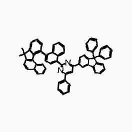 CC1(C)c2cccc(-c3ccc(-c4nc(-c5ccccc5)cc(-c5ccc6c(c5)-c5ccccc5C6(c5ccccc5)c5ccccc5)n4)c4ccccc34)c2-c2c1ccc1ccccc21